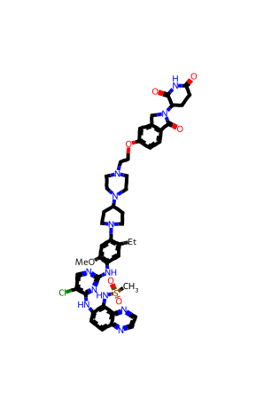 CCc1cc(Nc2ncc(Cl)c(Nc3ccc4nccnc4c3NS(C)(=O)=O)n2)c(OC)cc1N1CCC(N2CCN(CCOc3ccc4c(c3)CN(C3CCC(=O)NC3=O)C4=O)CC2)CC1